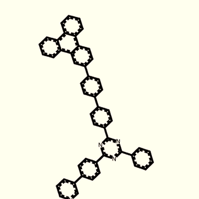 c1ccc(-c2nc(-c3ccc(-c4ccc(-c5ccc6c7ccccc7c7ccccc7c6c5)cc4)cc3)nc(-c3ccc(-c4cccnc4)cc3)n2)cc1